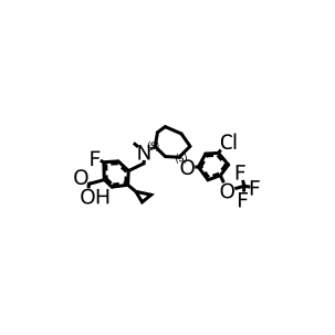 CN(Cc1cc(F)c(C(=O)O)cc1C1CC1)[C@H]1CCCC[C@H](Oc2cc(Cl)cc(OC(F)(F)F)c2)C1